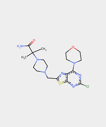 CC(C)(C(N)=O)N1CCN(Cc2nc3c(N4CCOCC4)nc(Cl)nc3s2)CC1